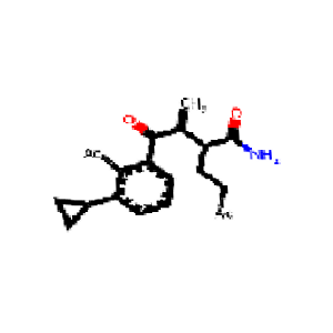 C=C(C(=O)c1cccc(C2CC2)c1C(C)=O)C(CCC(C)=O)C(N)=O